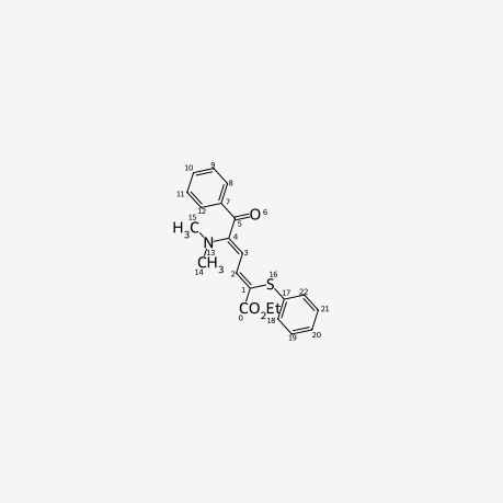 CCOC(=O)C(=CC=C(C(=O)c1ccccc1)N(C)C)Sc1ccccc1